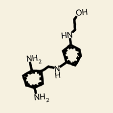 Nc1ccc(N)c(CNc2cccc(NCCO)c2)c1